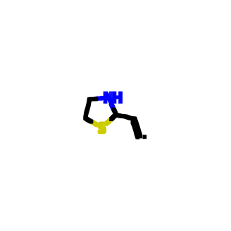 [CH]=CC1NCCS1